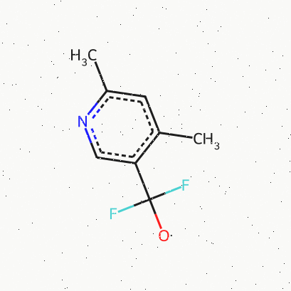 Cc1cc(C)c(C([O])(F)F)cn1